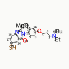 CC[C@H](C)N(CC)CCCOc1ccc(-n2c(C)nc3ccc(S)cc3c2=O)c(OC)c1